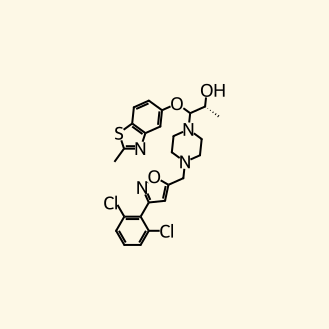 Cc1nc2cc(OC([C@@H](C)O)N3CCN(Cc4cc(-c5c(Cl)cccc5Cl)no4)CC3)ccc2s1